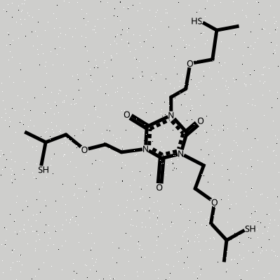 CC(S)COCCn1c(=O)n(CCOCC(C)S)c(=O)n(CCOCC(C)S)c1=O